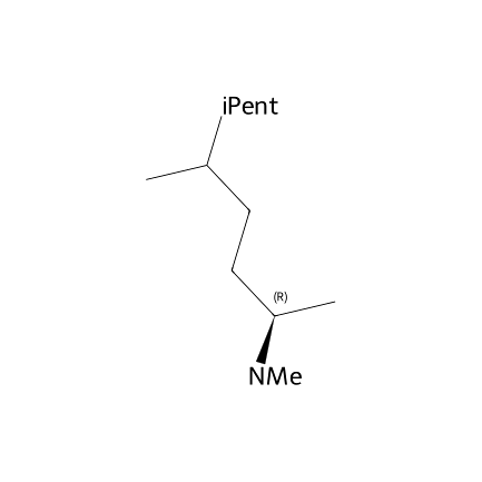 CCCC(C)C(C)CC[C@@H](C)NC